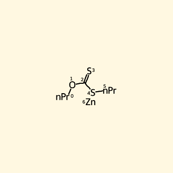 CCCOC(=S)SCCC.[Zn]